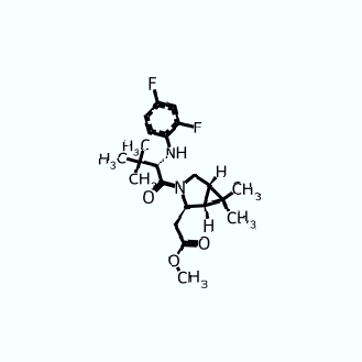 COC(=O)C[C@@H]1[C@@H]2[C@H](CN1C(=O)[C@@H](Nc1ccc(F)cc1F)C(C)(C)C)C2(C)C